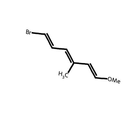 CO/C=C/C(C)=C/C=C/Br